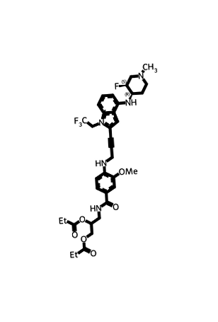 CCC(=O)OCC(CNC(=O)c1ccc(NCC#Cc2cc3c(N[C@@H]4CCN(C)C[C@@H]4F)cccc3n2CC(F)(F)F)c(OC)c1)OC(=O)CC